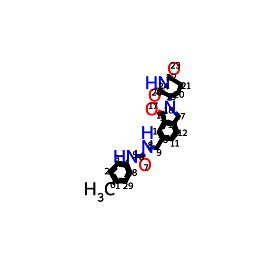 Cc1ccc(NC(=O)NCc2ccc3c(c2)C(=O)N(C2CCC(=O)NC2=O)C3)cc1